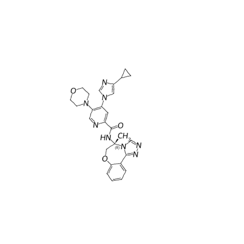 C[C@]1(NC(=O)c2cc(-n3cnc(C4CC4)c3)c(N3CCOCC3)cn2)COc2ccccc2-c2nncn21